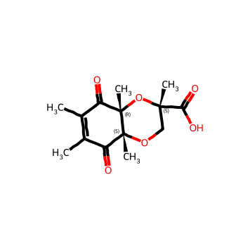 CC1=C(C)C(=O)[C@@]2(C)OC[C@@](C)(C(=O)O)O[C@@]2(C)C1=O